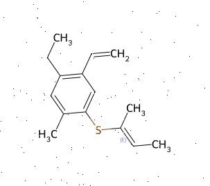 C=Cc1cc(S/C(C)=C/C)c(C)cc1CC